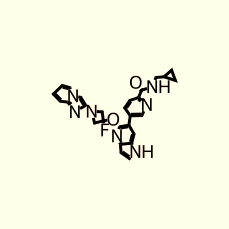 O=C(NCC1CC1)c1ccc(-c2cc3[nH]ccc3nc2OC2(F)CN(c3cn4ccccc4n3)C2)cn1